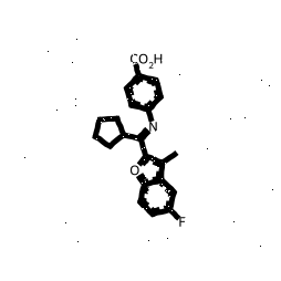 Cc1c(C(=Nc2ccc(C(=O)O)cc2)C2CCCC2)oc2ccc(F)cc12